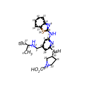 C[C@H](NCc1cc(Nc2nc3ccccc3s2)nc([AsH][C@H]2CCN(C(=O)O)C2)c1)C(C)(C)C